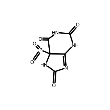 O=C1N=C2NC(=O)NC(=O)C2(P(=O)=O)N1